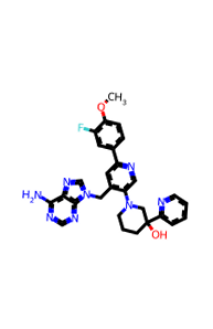 COc1ccc(-c2cc(Cn3cnc4c(N)ncnc43)c(N3CCCC(O)(c4ccccn4)C3)cn2)cc1F